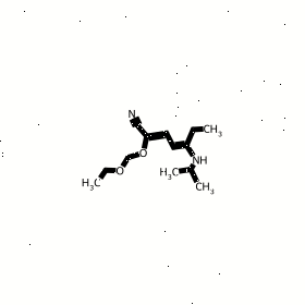 CCOCO/C(C#N)=C\C=C(/CC)NC(C)C